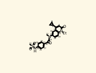 CCn1c(=O)cc(C2CC2)c2cc(N(C)C3OC3c3ccc(NS(C)(=O)=O)cc3)ccc21